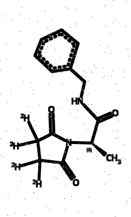 [2H]C1([2H])C(=O)N([C@H](C)C(=O)NCc2ccccc2)C(=O)C1([2H])[2H]